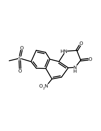 CS(=O)(=O)c1ccc2c(c1)c([N+](=O)[O-])cc1[nH]c(=O)c(=O)[nH]c12